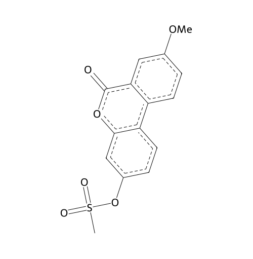 COc1ccc2c(c1)c(=O)oc1cc(OS(C)(=O)=O)ccc12